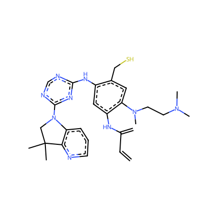 C=CC(=C)Nc1cc(Nc2ncnc(N3CC(C)(C)c4ncccc43)n2)c(CS)cc1N(C)CCN(C)C